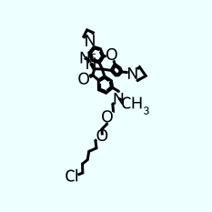 CN(CCOCCOCCCCCCCl)Cc1ccc2c(c1)C1(C(=[N+]=[N-])C2=O)c2ccc(N3CCC3)cc2Oc2cc(N3CCC3)ccc21